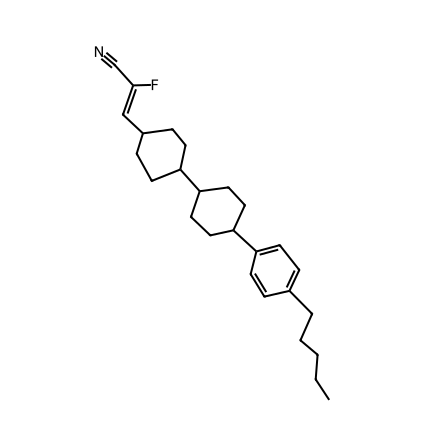 CCCCCc1ccc(C2CCC(C3CCC(C=C(F)C#N)CC3)CC2)cc1